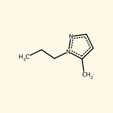 [CH2]c1ccnn1CCC